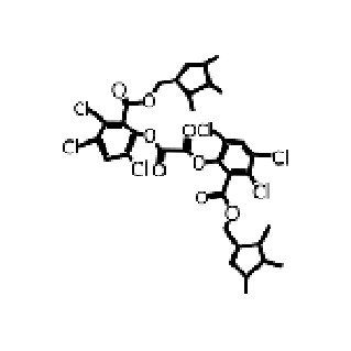 CC1CC(COC(=O)c2c(Cl)c(Cl)cc(Cl)c2OC(=O)C(=O)Oc2c(Cl)cc(Cl)c(Cl)c2C(=O)OCC2CC(C)C(C)C2C)C(C)C1C